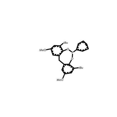 COc1cc2c(c(C(C)(C)C)c1)OP(c1ccccc1)Oc1c(cc(OC)cc1C(C)(C)C)C2